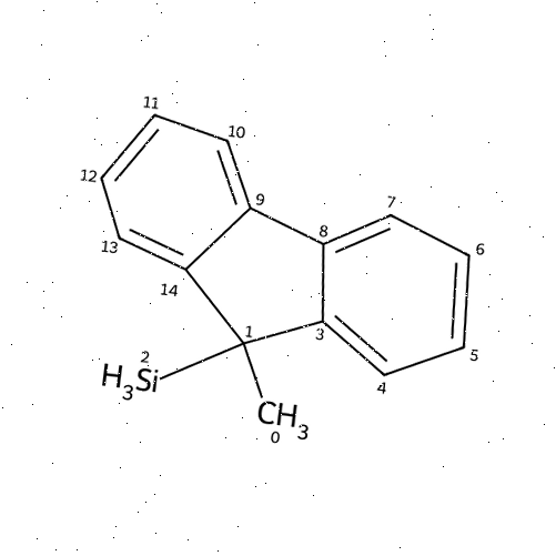 CC1([SiH3])c2ccccc2-c2ccccc21